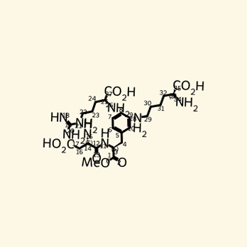 COC(=O)[C@H](Cc1ccccc1)NC(=O)[C@@H](N)CC(=O)O.N=C(N)NCCCC(N)C(=O)O.NCCCC[C@H](N)C(=O)O